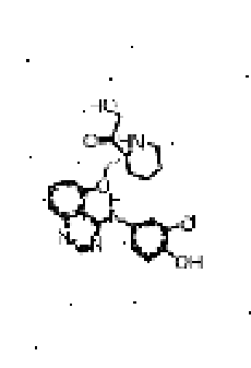 O=C(CO)[C@]1(COc2cccc3ncnc(Nc4ccc(O)c(Cl)c4)c23)CCCCN1